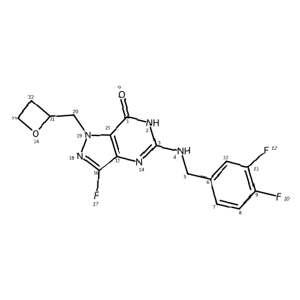 O=c1[nH]c(NCc2ccc(F)c(F)c2)nc2c(F)nn(CC3CCO3)c12